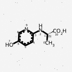 C[C@H](Nc1ccc(O)cn1)C(=O)O